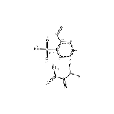 C=C(C(N)=O)C(C)C.C=Cc1ccccc1S(=O)(=O)O